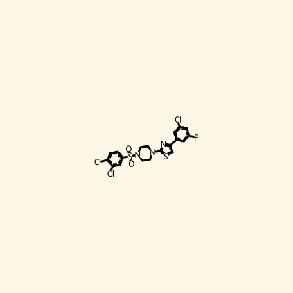 O=S(=O)(c1ccc(Cl)c(Cl)c1)N1CCN(c2nc(-c3cc(F)cc(Cl)c3)cs2)CC1